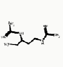 N=C(N)NCCC(CN)NC(=N)N